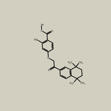 CC(C)OC(=O)c1ccc(OCC(=O)c2ccc3c(c2)C(C)(C)CCC3(C)C)cc1O